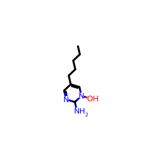 CCCCCC1=CN(O)C(N)N=C1